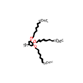 [CH2]CCc1cc(OCCCCCCCCCCCCCCCCC)c(OCCCCCCCCCCCCCCCCC)c(OCCCCCCCCCCCCCCCCC)c1